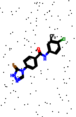 O=C(Nc1ccc(Cl)c(C(F)(F)F)c1)c1ccc(-n2cn[nH]c2=S)cc1